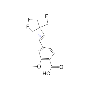 COc1cc(/C=C/C(CF)(CF)CF)ccc1C(=O)O